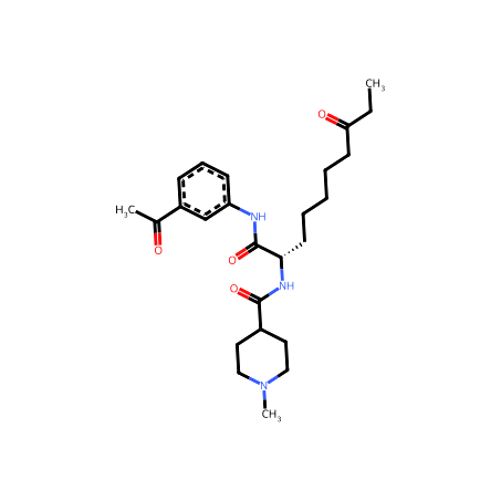 CCC(=O)CCCCC[C@H](NC(=O)C1CCN(C)CC1)C(=O)Nc1cccc(C(C)=O)c1